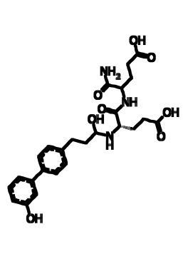 NC(=O)C(CCC(=O)O)NC(=O)[C@H](CCC(=O)O)NC(O)CCc1ccc(-c2cccc(O)c2)cc1